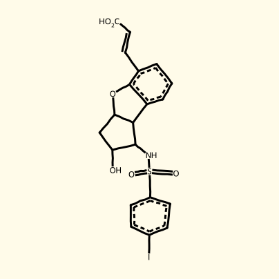 O=C(O)/C=C/c1cccc2c1OC1CC(O)C(NS(=O)(=O)c3ccc(I)cc3)C21